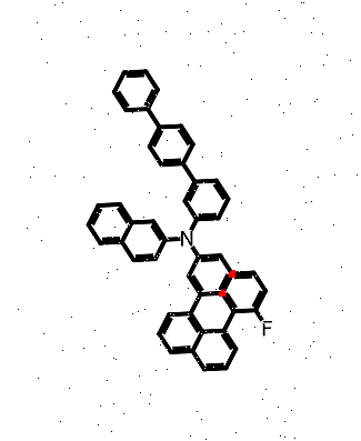 Fc1ccccc1-c1cccc2cccc(-c3cccc(N(c4cccc(-c5ccc(-c6ccccc6)cc5)c4)c4ccc5ccccc5c4)c3)c12